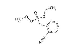 COOP(=O)(Cc1ccccc1C#N)OOC